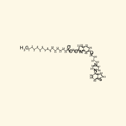 CCCCCCCCCCCCCCCCC(=O)OCOc1ccc2ccc(OCCCCN3CCN(c4cccc5sccc45)CC3)cc2n1